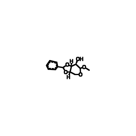 CO[C@H]1OC[C@@H]2OC(c3ccccc3)O[C@@H]2[C@H]1O